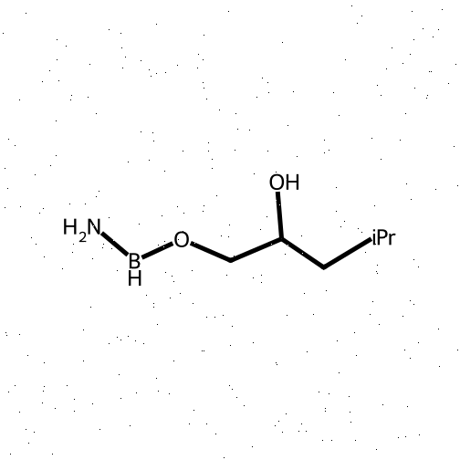 CC(C)CC(O)COBN